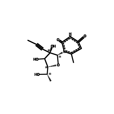 CC#C[C@@]1(O)C(O)[C@@H]([C@H](C)O)O[C@H]1n1c(C)cc(=O)[nH]c1=O